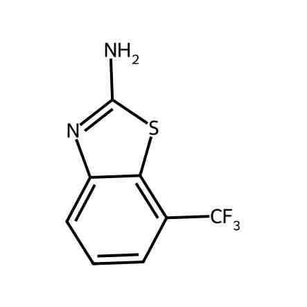 Nc1nc2cccc(C(F)(F)F)c2s1